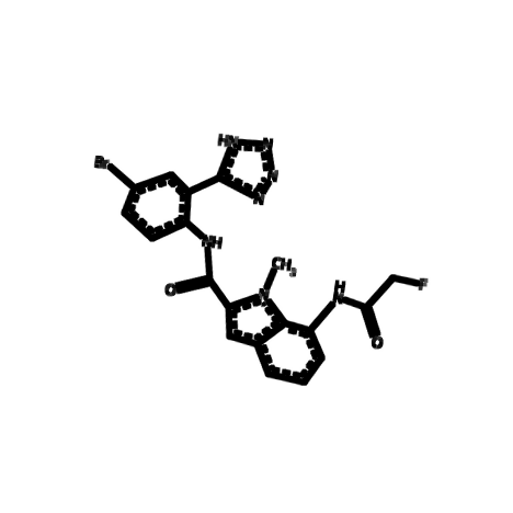 Cn1c(C(=O)Nc2ccc(Br)cc2-c2nnn[nH]2)cc2cccc(NC(=O)CF)c21